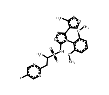 COc1cccc(OC)c1-n1c(NS(=O)(=O)C(C)Cc2ncc(F)cn2)nnc1-c1conc1C